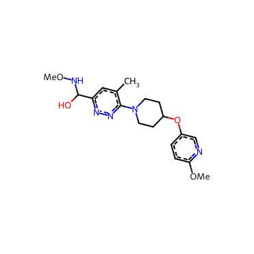 CONC(O)c1cc(C)c(N2CCC(Oc3ccc(OC)nc3)CC2)nn1